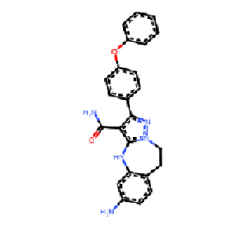 NC(=O)c1c(-c2ccc(Oc3ccccc3)cc2)nn2c1Nc1cc(N)ccc1CC2